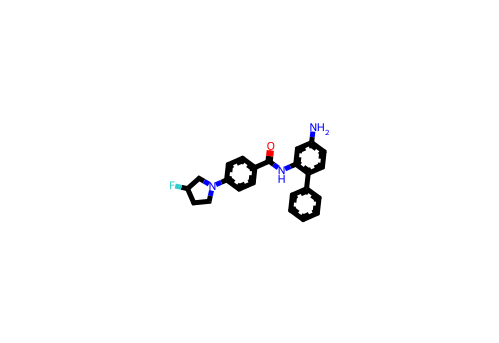 Nc1ccc(-c2ccccc2)c(NC(=O)c2ccc(N3CCC(F)C3)cc2)c1